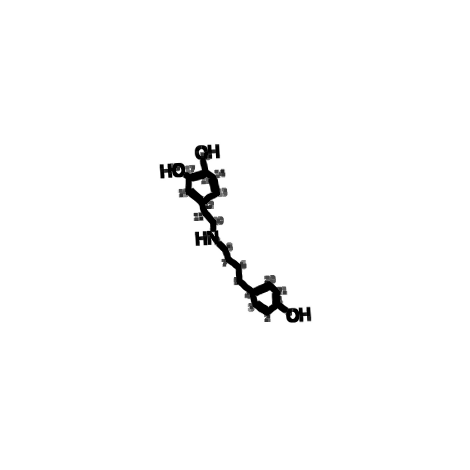 Oc1ccc(CCCCNCCc2ccc(O)c(O)c2)cc1